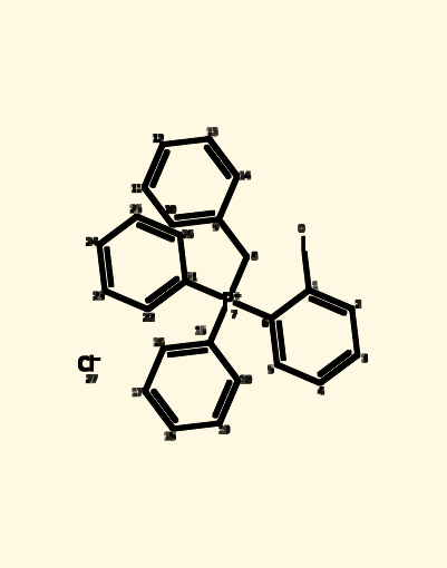 Ic1ccccc1[P+](Cc1ccccc1)(c1ccccc1)c1ccccc1.[Cl-]